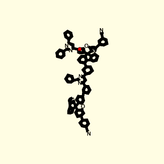 N#Cc1ccc(-c2ccc3c(c2)Oc2cc(-c4cccc(-c5cc(-c6cccc(-c7cccc8c7-c7ccccc7C87c8ccc(-c9cccc(C#N)c9)cc8Oc8cc(-c9cc(-c%10ccccc%10)nc(-c%10ccccc%10)n9)ccc87)c6)nc(-c6ccccc6)n5)c4)ccc2C32c3ccccc3-c3ccccc32)cc1